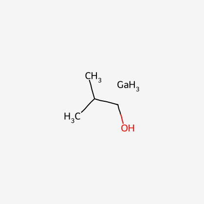 CC(C)CO.[GaH3]